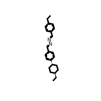 CCc1ccc(C=NN=Cc2ccc([C@H]3CC[C@H](CC)CC3)cc2)cc1